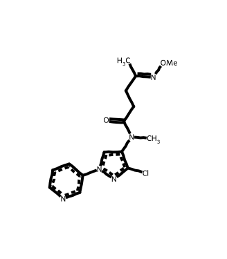 CON=C(C)CCC(=O)N(C)c1cn(-c2cccnc2)nc1Cl